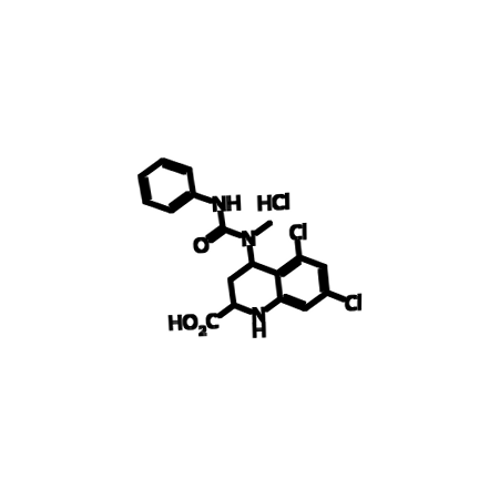 CN(C(=O)Nc1ccccc1)C1CC(C(=O)O)Nc2cc(Cl)cc(Cl)c21.Cl